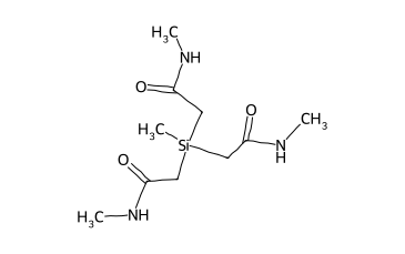 CNC(=O)C[Si](C)(CC(=O)NC)CC(=O)NC